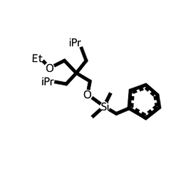 CCOCC(CO[Si](C)(C)Cc1ccccc1)(CC(C)C)CC(C)C